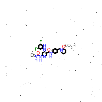 CCNC(=O)Nc1cc(Nc2cc(F)cc(F)c2)c(C(=O)Nc2ccc(CN3CCCCC3OC(=O)O)cc2)cn1